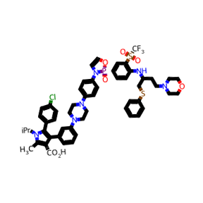 Cc1c(C(=O)O)c(-c2cccc(N3CCN(c4ccc(N5C=CO[P@@]5(=O)c5ccc(NC(CCN6CCOCC6)CSc6ccccc6)c(S(=O)(=O)C(F)(F)F)c5)cc4)CC3)c2)c(-c2ccc(Cl)cc2)n1C(C)C